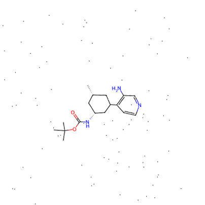 C[C@@H]1CC(c2ccncc2N)C[C@H](NC(=O)OC(C)(C)C)C1